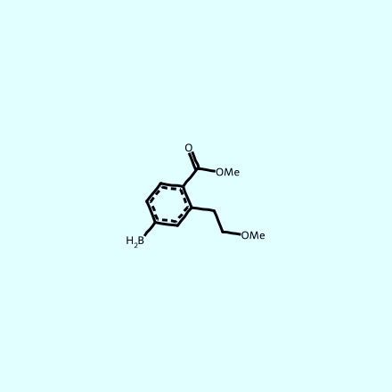 Bc1ccc(C(=O)OC)c(CCOC)c1